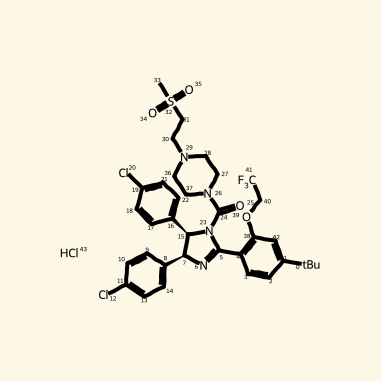 CC(C)(C)c1ccc(C2=N[C@@H](c3ccc(Cl)cc3)[C@@H](c3ccc(Cl)cc3)N2C(=O)N2CCN(CCS(C)(=O)=O)CC2)c(OCC(F)(F)F)c1.Cl